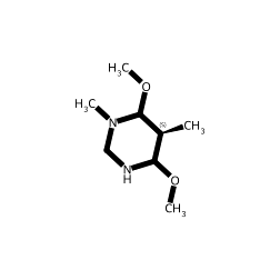 COC1NCN(C)C(OC)[C@H]1C